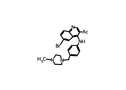 CC(=O)c1cnc2ccc(Br)cc2c1Nc1ccc(CN2CCN(C)CC2)cc1